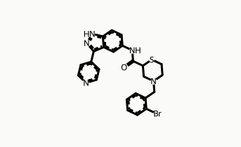 O=C(Nc1ccc2[nH]nc(-c3ccncc3)c2c1)C1CN(Cc2ccccc2Br)CCS1